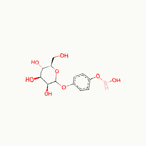 OBOc1ccc(OC2O[C@H](CO)[C@@H](O)[C@H](O)[C@@H]2O)cc1